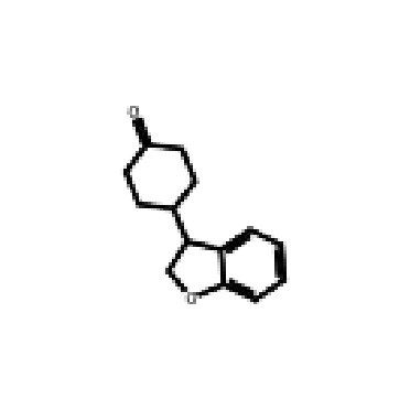 O=C1CCC(C2COc3ccccc32)CC1